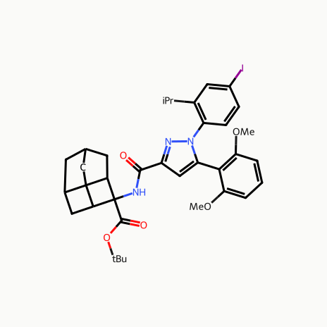 COc1cccc(OC)c1-c1cc(C(=O)NC2(C(=O)OC(C)(C)C)C3CC4CC5CC2C53C4)nn1-c1ccc(I)cc1C(C)C